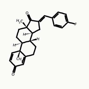 C[C@]12C=CC(=O)C=C1CC[C@@H]1[C@@H]2CC[C@]2(C)C(=O)C(=Cc3ccc(F)cc3)C[C@@H]12